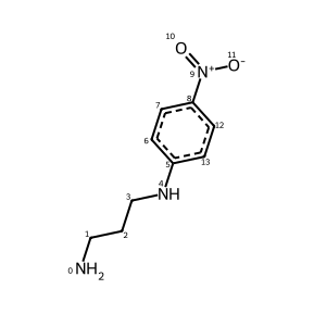 NCCCNc1ccc([N+](=O)[O-])cc1